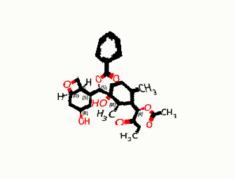 CCC(=O)[C@H](OC(C)=O)C1C(C)CCC(O)([C@@H](OC(=O)c2ccccc2)[C@H]2C[C@@H](O)C[C@H]3OC[C@@H]23)[C@@H]1C